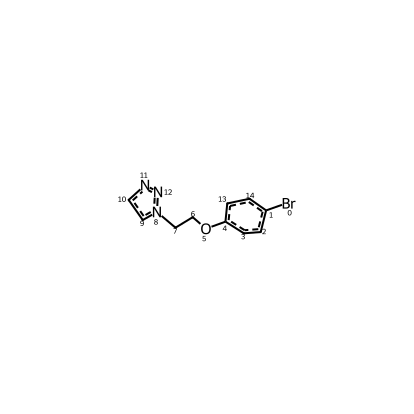 Brc1ccc(OCCn2ccnn2)cc1